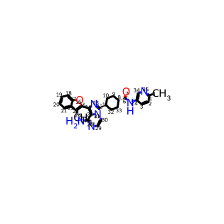 Cc1ccc(NC(=O)[C@H]2CC[C@H](c3nc(-c4oc5ccccc5c4C)c4c(N)nccn43)CC2)cn1